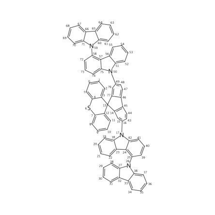 c1ccc2c(c1)Sc1ccccc1C21c2cc(-n3c4ccccc4c4c(-n5c6ccccc6c6ccccc65)cccc43)ccc2-c2ccc(-n3c4ccccc4c4c(-n5c6ccccc6c6ccccc65)cccc43)cc21